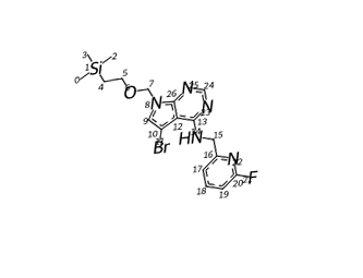 C[Si](C)(C)CCOCn1cc(Br)c2c(NCc3cccc(F)n3)ncnc21